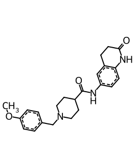 COc1ccc(CN2CCC(C(=O)Nc3ccc4c(c3)CCC(=O)N4)CC2)cc1